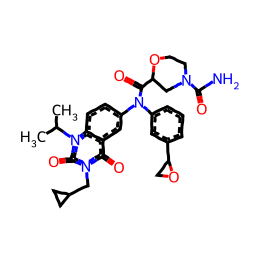 CC(C)n1c(=O)n(CC2CC2)c(=O)c2cc(N(C(=O)C3CN(C(N)=O)CCO3)c3cccc(C4CO4)c3)ccc21